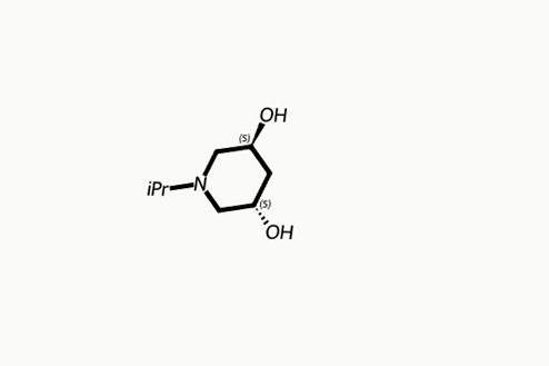 CC(C)N1C[C@@H](O)C[C@H](O)C1